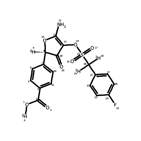 [2H]OC(=O)c1ccc([C@@]2([2H])OC(N)=C(OS(=O)(=O)C([2H])([2H])c3ccc(F)cc3)C2=O)cc1